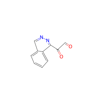 O=CC(=O)c1nncc2ccccc12